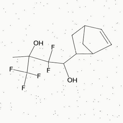 CC(O)(C(F)(F)F)C(F)(F)C(O)C1CC2C=CC1C2